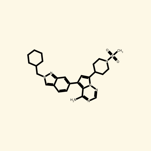 CS(=O)(=O)N1CCC(c2cc(-c3ccc4cn(CC5CCCCC5)nc4c3)c3c(N)ncnn23)CC1